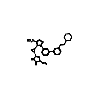 CN1C=C([C@@H]2C[C@H]2c2c(C(=O)O)cnn2-c2cccc(-c3cccc(/C=C/C4CCCCC4)c3)c2)NN1